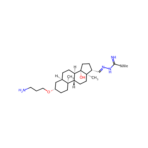 CNC(=N)N/N=C/[C@H]1CC[C@]2(O)[C@@H]3CC[C@@H]4C[C@@H](OCCCN)CC[C@]4(C)[C@H]3CC[C@]12C